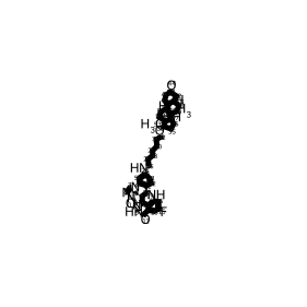 Cn1ncnc1[C@H]1c2n[nH]c(=O)c3cc(F)cc(c23)N[C@@H]1c1ccc(NCCCCCCCO[C@H]2CC[C@H]3[C@@H]4CC[C@H]5CC(=O)CC[C@]5(C)[C@H]4CC[C@]23C)cc1